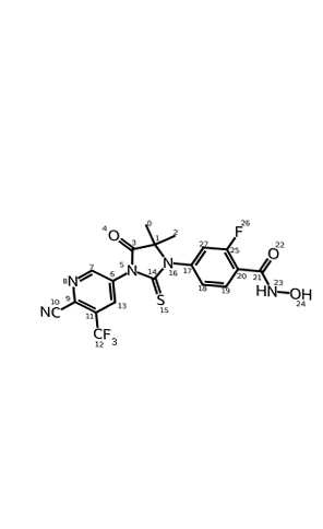 CC1(C)C(=O)N(c2cnc(C#N)c(C(F)(F)F)c2)C(=S)N1c1ccc(C(=O)NO)c(F)c1